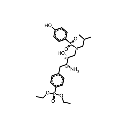 CCOP(=O)(OCC)c1ccc(C[C@H](N)[C@H](O)CN(CC(C)C)S(=O)(=O)c2ccc(O)cc2)cc1